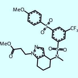 COC(=O)CCn1ncc2c1CCCC2N(C)S(=O)(=O)c1cc(C(F)(F)F)cc(S(=O)(=O)c2ccc(OC)cc2)c1